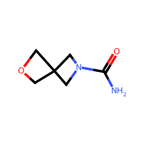 NC(=O)N1CC2(COC2)C1